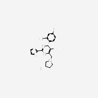 CCOC(=O)C1=C(CN2CC[C@H](F)C2)NC(c2nccs2)=N[C@H]1c1ccc(F)cc1Cl